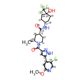 COc1cc(-c2cc(C(=O)N3CC[C@H](C(=O)NC4CCC(O)(C(F)(F)F)CC4)C[C@@H]3C)n[nH]2)c(F)cn1